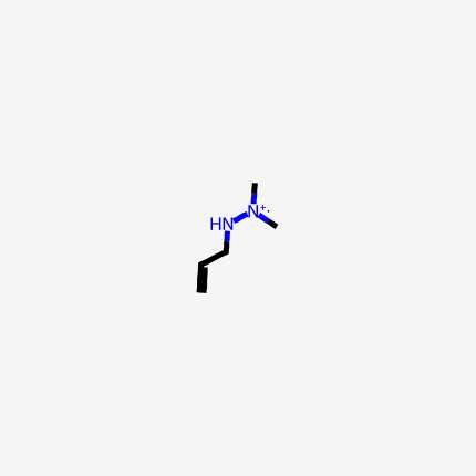 C=CCN[N+](C)C